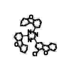 Clc1cc(-c2nc(-c3cccc4oc5ccccc5c34)nc(-c3cccc4oc5ccccc5c34)n2)cc2c1oc1ccccc12